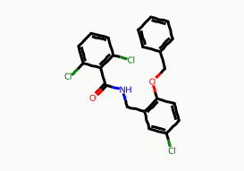 O=C(NCc1cc(Cl)ccc1OCc1ccccc1)c1c(Cl)cccc1Cl